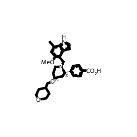 COc1cc(C)c2[nH]ccc2c1CN1CC[C@H](OCC2CCOCC2)C[C@H]1c1ccc(C(=O)O)cc1